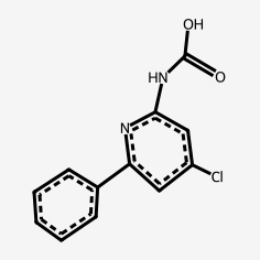 O=C(O)Nc1cc(Cl)cc(-c2ccccc2)n1